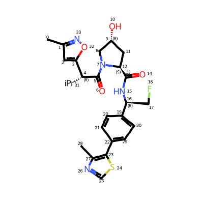 Cc1cc([C@H](C(=O)N2C[C@H](O)C[C@H]2C(=O)N[C@@H](CF)c2ccc(-c3scnc3C)cc2)C(C)C)on1